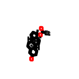 CCC(=O)O[C@@]1(C)CC[C@H]2[C@@H]3CCC4=CC(=O)CC[C@]4(C)[C@H]3CC[C@@]21C